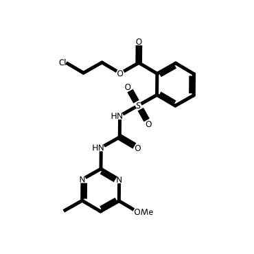 COc1cc(C)nc(NC(=O)NS(=O)(=O)c2ccccc2C(=O)OCCCl)n1